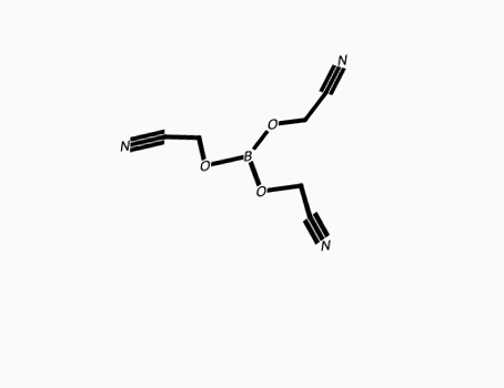 N#CCOB(OCC#N)OCC#N